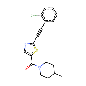 CC1CCN(C(=O)c2cnc(C#Cc3ccccc3Cl)s2)CC1